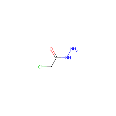 NNC(=O)CCl